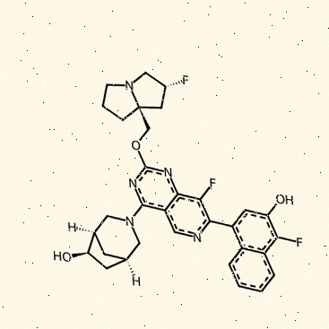 Oc1cc(-c2ncc3c(N4C[C@@H]5C[C@H](C4)[C@H](O)C5)nc(OC[C@@]45CCCN4C[C@H](F)C5)nc3c2F)c2ccccc2c1F